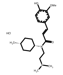 COc1cc(/C=C/C(=O)N(CCN(C)C)[C@H]2CC[C@@H](C)CC2)ccc1O.Cl